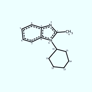 Cc1nc2[c]cccc2n1C1CCCCC1